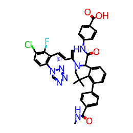 C=C(/C=C/c1c(-n2cnnn2)ccc(Cl)c1F)N1CC(C)(C)c2c(-c3ccc(C(=O)NC)cc3)cccc2C1C(=O)Nc1ccc(C(=O)O)cc1